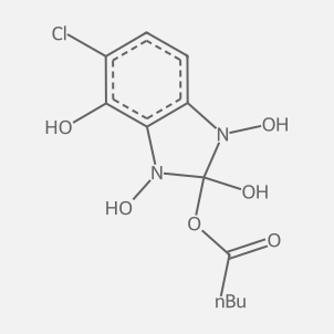 CCCCC(=O)OC1(O)N(O)c2ccc(Cl)c(O)c2N1O